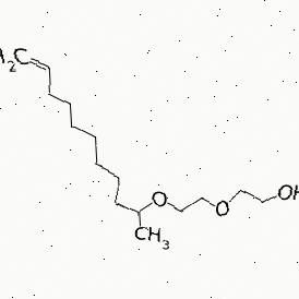 C=CCCCCCCCC(C)OCCOCCO